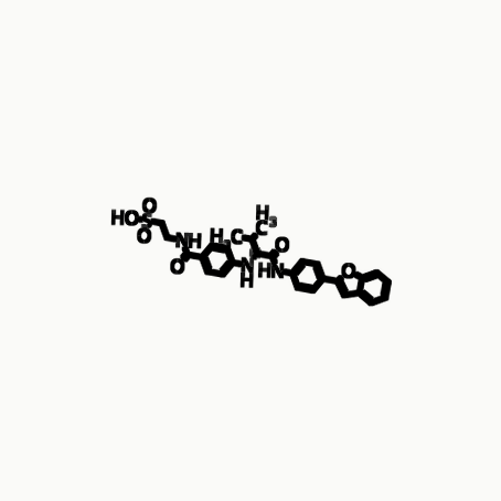 CC(C)[C@H](Nc1ccc(C(=O)NCCS(=O)(=O)O)cc1)C(=O)Nc1ccc(-c2cc3ccccc3o2)cc1